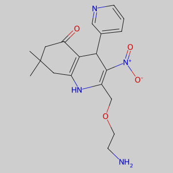 CC1(C)CC(=O)C2=C(C1)NC(COCCN)=C([N+](=O)[O-])C2c1cccnc1